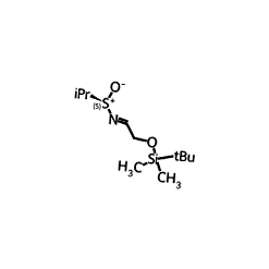 CC(C)[S@@+]([O-])N=CCO[Si](C)(C)C(C)(C)C